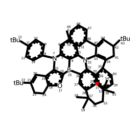 Cc1cc2c3c(c1)N(c1ccc(C(C)(C)C)cc1)c1c(oc4c1C=C(C(C)(C)C)CC4)B3c1cc3c(cc1N2C1=C(c2ccccc2)CC(C(C)(C)C)C=C1c1ccccc1)C(C)(C)CCC3(C)C